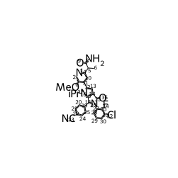 COc1cnc(C(C)C(N)=O)cc1-c1cc2c(n1C(C)C)C(c1ccc(C#N)cc1)N(c1cccc(Cl)c1F)C2=O